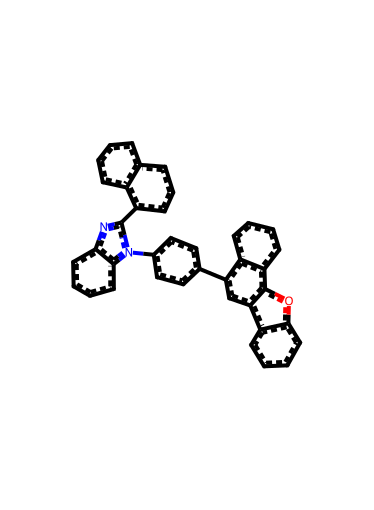 c1ccc2c(-c3nc4ccccc4n3-c3ccc(-c4cc5c6ccccc6oc5c5ccccc45)cc3)cccc2c1